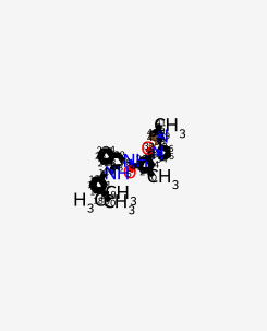 Cc1cc(C(=O)N[C@H](CCNCc2cccc(C(C)(C)C)c2)Cc2ccccc2)cc(C(=O)N2CCC[C@@H]2c2nc(C)cs2)c1